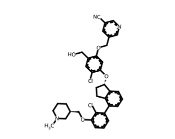 CN1CCC[C@@H](COc2cccc(-c3cccc4c3CC[C@@H]4Oc3cc(OCc4cncc(C#N)c4)c(CO)cc3Cl)c2Cl)C1